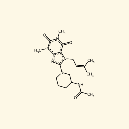 CC(=O)NC1CCCN(c2nc3c(c(=O)n(C)c(=O)n3C)n2CC=C(C)C)C1